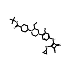 CCC1CN(c2ncc(Nc3c(NC4CC4)c(=O)c3=O)cc2Cl)CCN1C1CCN(C(=O)OC(C)(C)C)CC1